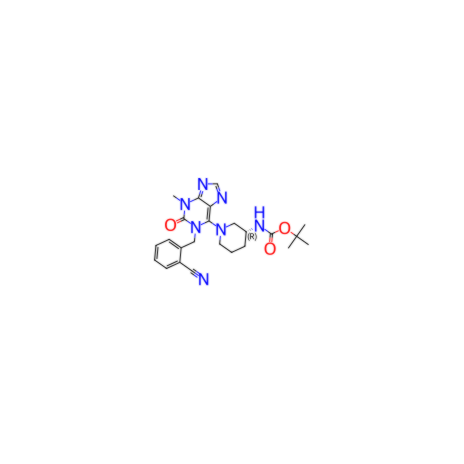 Cn1c2ncnc-2c(N2CCC[C@@H](NC(=O)OC(C)(C)C)C2)n(Cc2ccccc2C#N)c1=O